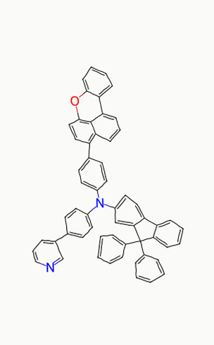 c1ccc(C2(c3ccccc3)c3ccccc3-c3ccc(N(c4ccc(-c5cccnc5)cc4)c4ccc(-c5ccc6c7c(cccc57)-c5ccccc5O6)cc4)cc32)cc1